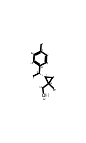 Cc1ccc(C(C)[C@@H]2CC2(C)CO)cc1